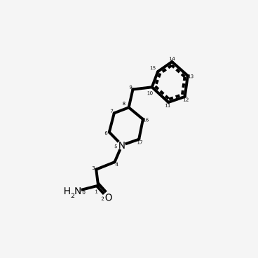 NC(=O)CCN1CCC(Cc2ccccc2)CC1